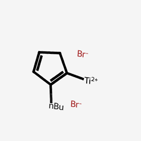 CCCCC1=[C]([Ti+2])CC=C1.[Br-].[Br-]